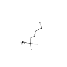 CCCC(C)(C)CCCCF